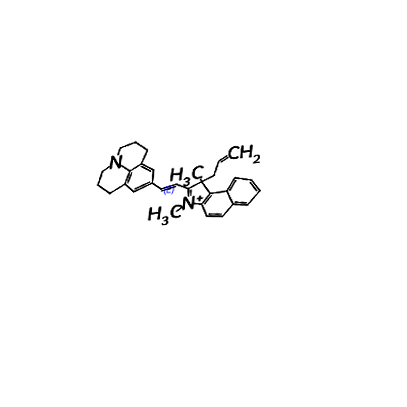 C=CCC1(C)C(/C=C/c2cc3c4c(c2)CCCN4CCC3)=[N+](C)c2ccc3ccccc3c21